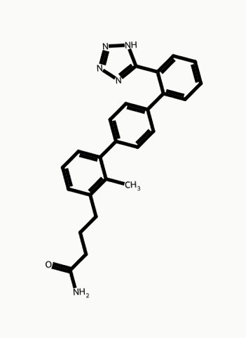 Cc1c(CCCC(N)=O)cccc1-c1ccc(-c2ccccc2-c2nnn[nH]2)cc1